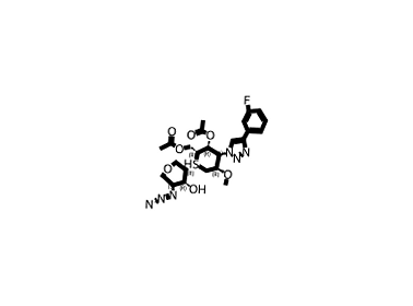 CO[C@H]1C[SH]([C@@H]2COC[C@H](N=[N+]=[N-])[C@H]2O)[C@H](COC(C)=O)[C@H](OC(C)=O)[C@H]1n1cc(-c2cccc(F)c2)nn1